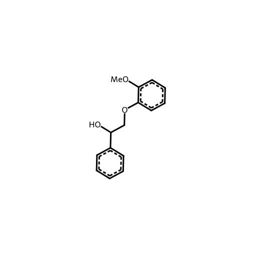 COc1ccccc1OCC(O)c1ccccc1